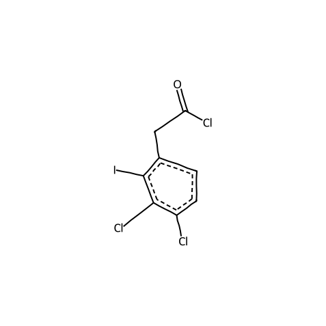 O=C(Cl)Cc1ccc(Cl)c(Cl)c1I